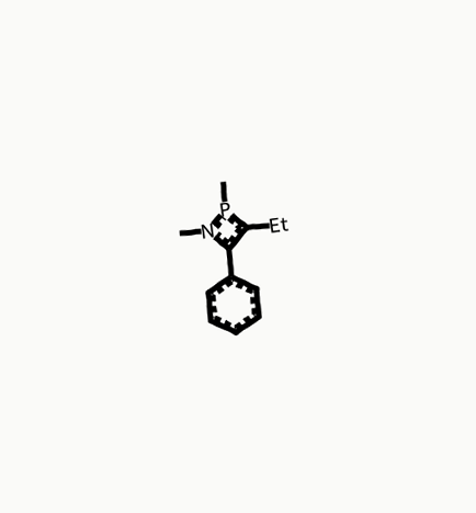 CCc1c(-c2ccccc2)n(C)p1C